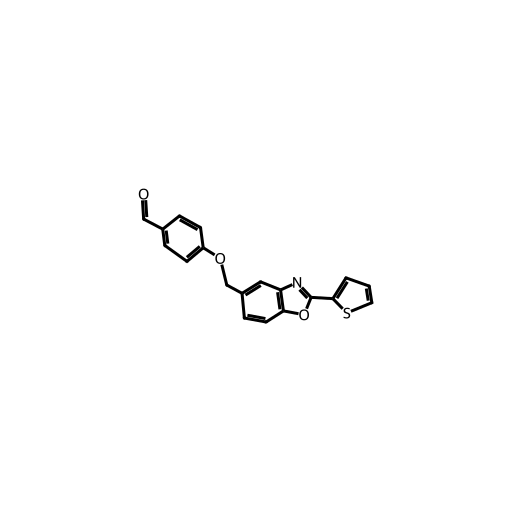 O=Cc1ccc(OCc2ccc3oc(-c4cccs4)nc3c2)cc1